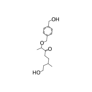 CC(CCO)CCC(=O)C(C)OCc1ccc(CO)cc1